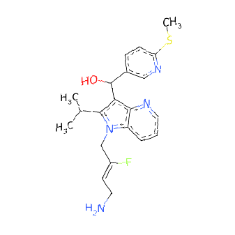 CSc1ccc(C(O)c2c(C(C)C)n(C/C(F)=C/CN)c3cccnc23)cn1